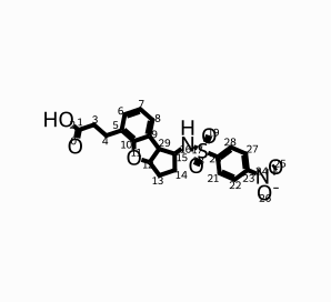 O=C(O)CCc1cccc2c1OC1CCC(NS(=O)(=O)c3ccc([N+](=O)[O-])cc3)C21